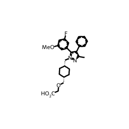 COc1cc(F)cc(-c2c(-c3ccccc3)c(C)nn2C[C@H]2CC[C@@H](COCC(=O)O)CC2)c1